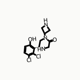 O=C1CN[C@H](c2c(O)ccc(Cl)c2Cl)CN1C1CNC1